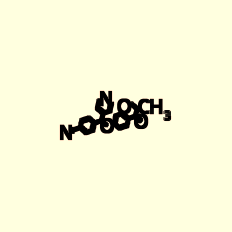 CC1COc2cc(OC(c3ccncc3)c3ccc(C#N)cc3)ccc2C1=O